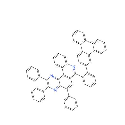 c1ccc(-c2nc3c(-c4ccccc4)cc4c(-c5ccccc5-c5ccc6c7ccccc7c7ccccc7c6c5)nc5ccccc5c4c3nc2-c2ccccc2)cc1